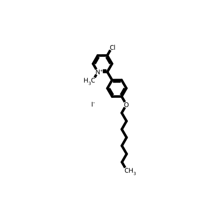 CCCCCCCCOc1ccc(-c2cc(Cl)cc[n+]2C)cc1.[I-]